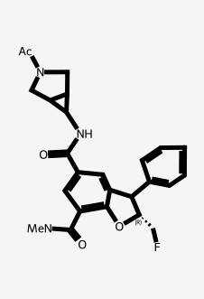 CNC(=O)c1cc(C(=O)NC2C3CN(C(C)=O)CC32)cc2c1O[C@@H](CF)C2c1ccccc1